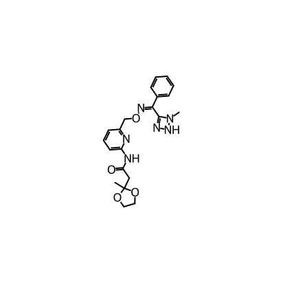 Cn1[nH]nc1/C(=N\OCc1cccc(NC(=O)CC2(C)OCCO2)n1)c1ccccc1